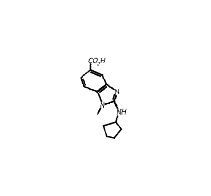 Cn1c(NC2CCCC2)nc2cc(C(=O)O)ccc21